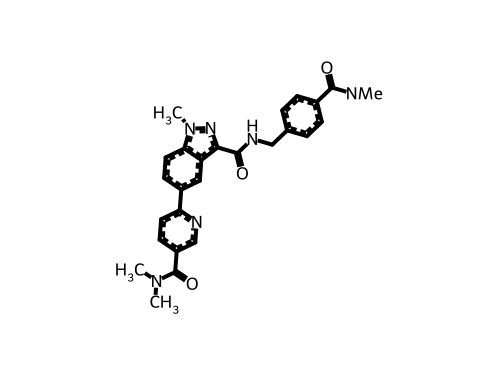 CNC(=O)c1ccc(CNC(=O)c2nn(C)c3ccc(-c4ccc(C(=O)N(C)C)cn4)cc23)cc1